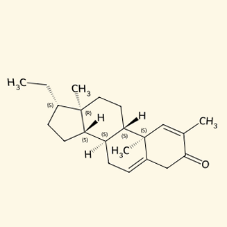 CC[C@H]1CC[C@H]2[C@@H]3CC=C4CC(=O)C(C)=C[C@]4(C)[C@H]3CC[C@]12C